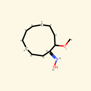 COC1CCCCCCCCC/C1=N\O